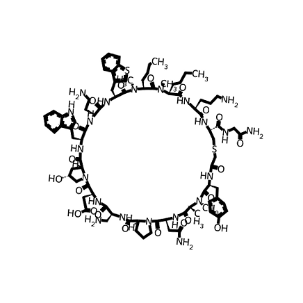 CCCC[C@H]1C(=O)N(C)[C@@H](CCCC)C(=O)N[C@@H](CCCN)C(=O)N[C@H](C(=O)NCC(N)=O)CSCC(=O)N[C@@H](Cc2ccc(O)cc2)C(=O)N(C)[C@@H](C)C(=O)N[C@@H](CC(N)=O)C(=O)N2CCC[C@H]2C(=O)N[C@@H](CN)C(=O)N[C@@H](CC(=O)O)C(=O)N2C[C@H](O)C[C@H]2C(=O)N[C@@H](Cc2c[nH]c3ccccc23)C(=O)N[C@@H](CCN)C(=O)N[C@@H](Cc2csc3ccccc23)C(=O)N1C